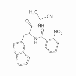 CC(C#N)NC(=O)C(Cc1ccc2ccccc2c1)NC(=O)c1ccccc1[N+](=O)[O-]